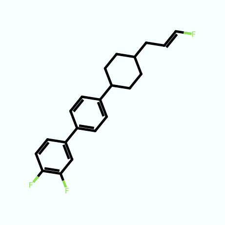 F/C=C/CC1CCC(c2ccc(-c3ccc(F)c(F)c3)cc2)CC1